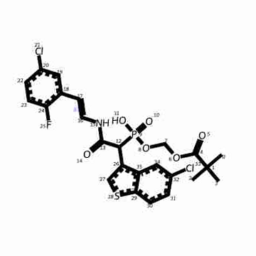 CC(C)(C)C(=O)OCOP(=O)(O)C(C(=O)N/C=C/c1cc(Cl)ccc1F)c1csc2ccc(Cl)cc12